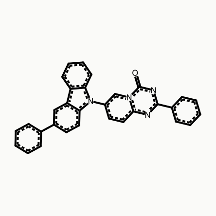 O=c1nc(-c2ccccc2)nc2ccc(-n3c4ccccc4c4cc(-c5ccccc5)ccc43)cn12